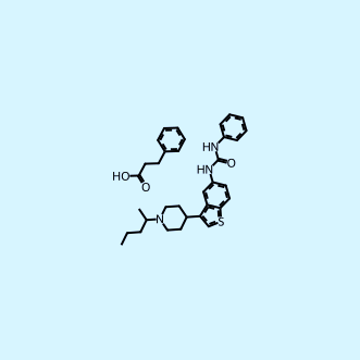 CCCC(C)N1CCC(c2csc3ccc(NC(=O)Nc4ccccc4)cc23)CC1.O=C(O)CCc1ccccc1